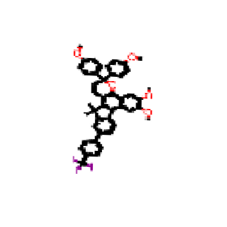 COc1ccc(C2(c3ccc(OC)cc3)C=Cc3c4c(c5cc(OC)c(OC)cc5c3O2)-c2ccc(-c3ccc(C(I)(I)I)cc3)cc2C4(C)C)cc1